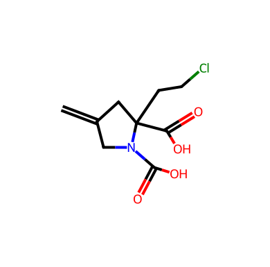 C=C1CN(C(=O)O)C(CCCl)(C(=O)O)C1